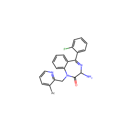 CC(=O)c1cccnc1CN1C(=O)C(N)N=C(c2ccccc2F)c2ccccc21